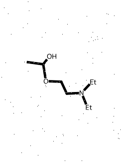 [CH2]C(O)OCCN(CC)CC